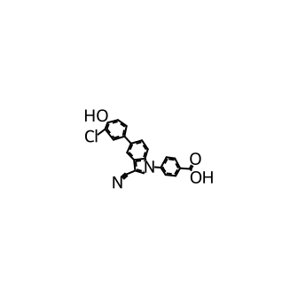 N#Cc1cn(-c2ccc(C(=O)O)cc2)c2ccc(-c3ccc(O)c(Cl)c3)cc12